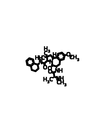 CN[C@@H](C)C(=O)N[C@H]1Cc2cc(OC)ccc2[C@H]2CC(C)(C)C(C(=O)NC3CCCc4ccccc43)N2C1=O